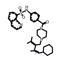 CC(C)=C(CN1CCN(C(=O)c2ccc(NS(=O)(=O)c3cccc4cccnc34)cc2)CC1)/C(C)=C\C1CCCCC1